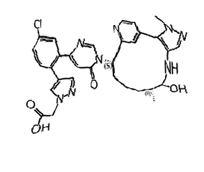 C[C@@H]1CCC[C@H](n2cnc(-c3cc(Cl)ccc3-c3cnn(CC(=O)O)c3)cc2=O)c2cc(ccn2)-c2c(cnn2C)NC1O